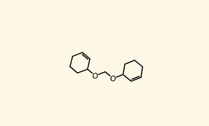 C1=CC(OCOC2C=CCCC2)CCC1